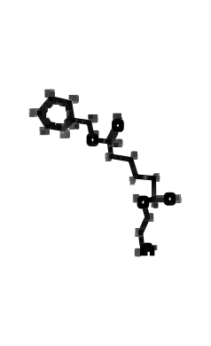 CC(C)CCOC(=O)CCCCC(=O)OCc1ccccc1